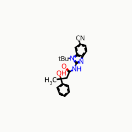 CC(O)(CC(=O)Nc1nc2ccc(C#N)cc2n1C(C)(C)C)c1ccccc1